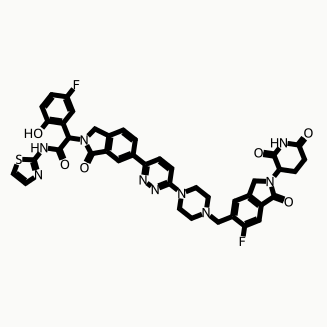 O=C1CCC(N2Cc3cc(CN4CCN(c5ccc(-c6ccc7c(c6)C(=O)N(C(C(=O)Nc6nccs6)c6cc(F)ccc6O)C7)nn5)CC4)c(F)cc3C2=O)C(=O)N1